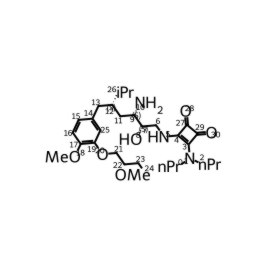 CCCN(CCC)c1c(NC[C@H](O)[C@@H](N)C[C@H](Cc2ccc(OC)c(OCCCOC)c2)C(C)C)c(=O)c1=O